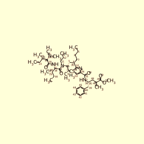 CCCC[C@H](C[C@H](C(C)C)N(CCC)C(=O)[C@@H](NC(=O)[C@H]([C@@H](C)CC)N(C)C)[C@@H](C)CC)c1nc(C(=O)N[C@@H](Cc2ccccc2)C[C@H](C)C(=O)OC)cs1